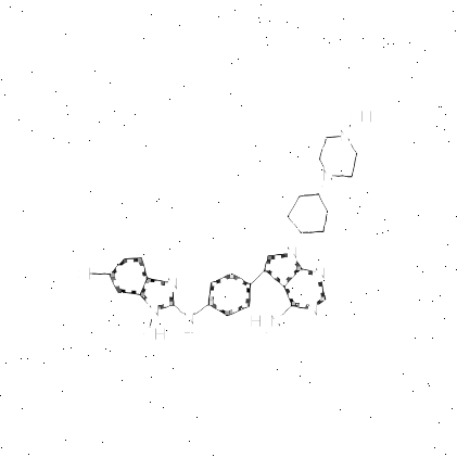 CN1CCN([C@H]2CC[C@@H](n3cc(-c4ccc(Nc5nc6ccc(Cl)cc6n5C)cc4)c4c(N)ncnc43)CC2)CC1